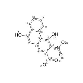 O=[N+]([O-])c1cc(C=NO)c(-c2ccccc2)c(O)c1[N+](=O)[O-]